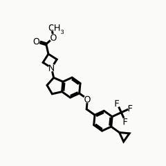 COC(=O)C1CN(C2CCc3cc(OCc4ccc(C5CC5)c(C(F)(F)F)c4)ccc32)C1